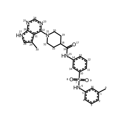 Cc1cccc(NS(=O)(=O)c2cccc(NC(=O)C3CCN(c4ncnc5[nH]cc(C)c45)CC3)c2)c1